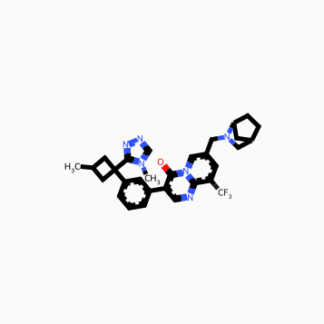 CC1CC(c2cccc(-c3cnc4c(C(F)(F)F)cc(CN5CC6CCC5C6)cn4c3=O)c2)(c2nncn2C)C1